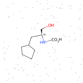 O=C(O)N[C@H](CO)CC1CCCC1